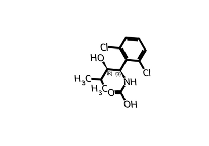 CC(C)[C@@H](O)[C@H](NC(=O)O)c1c(Cl)cccc1Cl